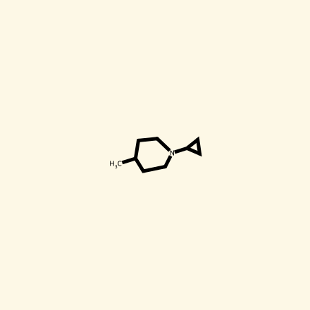 CC1CCN(C2CC2)CC1